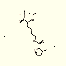 CC(C)NC(CCCCNC(=O)C1N=CCC1C)C(=O)C(C)(C)C